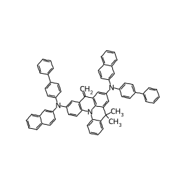 C=C1c2cc(N(c3ccc(-c4ccccc4)cc3)c3ccc4ccccc4c3)ccc2N2c3ccccc3C(C)(C)c3cc(N(c4ccc(-c5ccccc5)cc4)c4ccc5ccccc5c4)cc1c32